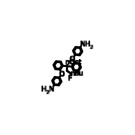 CCCCCCCCC(CC(F)CCCC)(c1ccccc1Oc1ccc(N)cc1)c1ccccc1Oc1ccc(N)cc1